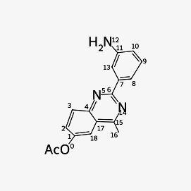 CC(=O)Oc1ccc2nc(-c3cccc(N)c3)nc(C)c2c1